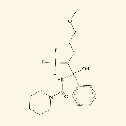 COCCCC(C(F)(F)F)C(O)(NC(=O)N1CCCCC1)c1ccccc1